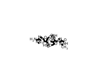 Cc1nc2c(ncn2C2OC3CO[P@@](=O)(S)NC4C(CO[P@](=O)(S)OC2C3CO)OC(n2cnc3c(N)ncnc32)C4F)c(=O)[nH]1